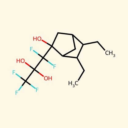 CCC1C2CC(C1CC)C(O)(C(F)(F)C(O)(O)C(F)(F)F)C2